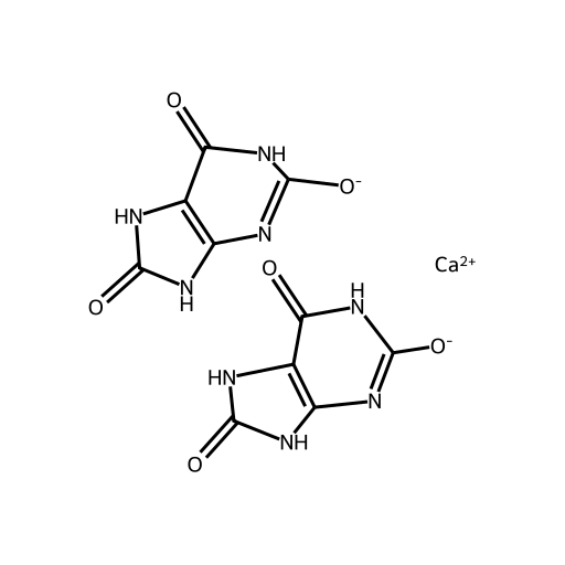 O=c1[nH]c2nc([O-])[nH]c(=O)c2[nH]1.O=c1[nH]c2nc([O-])[nH]c(=O)c2[nH]1.[Ca+2]